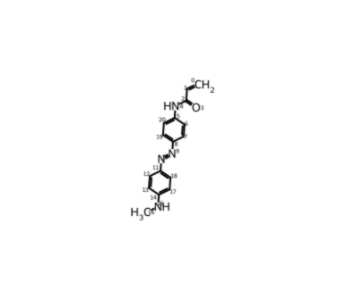 C=CC(=O)Nc1ccc(/N=N/c2ccc(NC)cc2)cc1